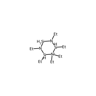 CCN1[SiH2]N(CC)[SiH](CC)[N+](CC)(CC)[SiH]1CC